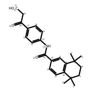 CC1(C)CCC(C)(C)c2cc(C(=O)Nc3ccc(C(=O)CC(=O)O)cc3)ccc21